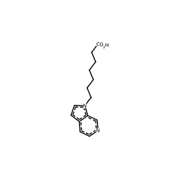 O=C(O)CCCCCCn1ccc2ccncc21